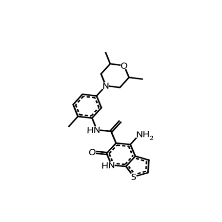 C=C(Nc1cc(N2CC(C)OC(C)C2)ccc1C)c1c(N)c2ccsc2[nH]c1=O